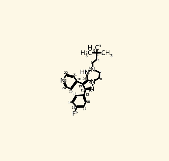 CC(C)(C)CCN1CCn2nc(-c3ccc(F)cc3)c(-c3ccncc3)c2N1